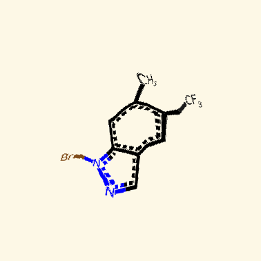 Cc1cc2c(cnn2Br)cc1C(F)(F)F